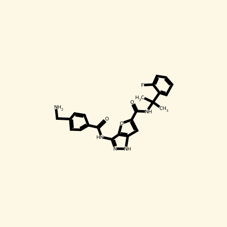 CC(C)(NC(=O)c1cc2[nH]nc(NC(=O)c3ccc(CN)cc3)c2o1)c1ccccc1F